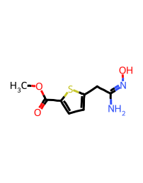 COC(=O)c1ccc(C/C(N)=N\O)s1